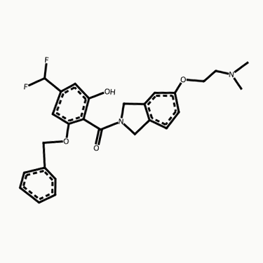 CN(C)CCOc1ccc2c(c1)CN(C(=O)c1c(O)cc(C(F)F)cc1OCc1ccccc1)C2